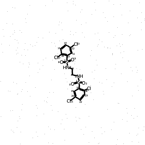 O=S(=O)(NCCNS(=O)(=O)c1cc(Cl)ccc1Cl)c1cc(Cl)ccc1Cl